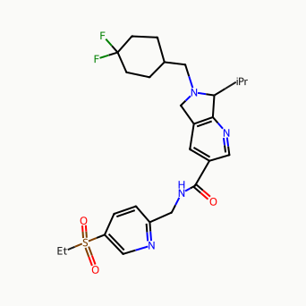 CCS(=O)(=O)c1ccc(CNC(=O)c2cnc3c(c2)CN(CC2CCC(F)(F)CC2)C3C(C)C)nc1